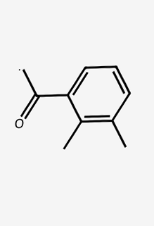 [CH2]C(=O)c1cccc(C)c1C